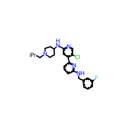 CC(C)CN1CCC(Nc2cc(-c3cccc(NCc4cccc(F)c4)n3)c(Cl)cn2)CC1